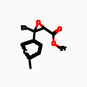 CCC1(c2ccc(C)cc2)OC1C(=O)OC(C)C